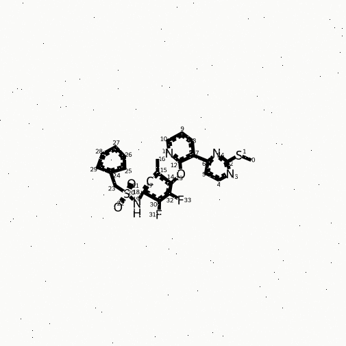 CSc1nccc(-c2cccnc2Oc2c(C)cc(NS(=O)(=O)Cc3ccccc3)c(F)c2F)n1